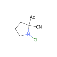 CC(=O)C1(C#N)CCCN1Cl